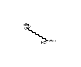 CCCCCCC(O)CCCCCCCCCCC(=O)OCCCC